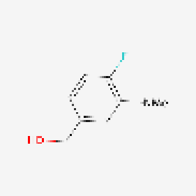 CNc1cc(CO)ccc1F